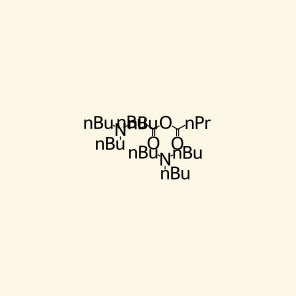 CCCCC(=O)OC(=O)CCC.CCCCN(CCCC)CCCC.CCCCN(CCCC)CCCC